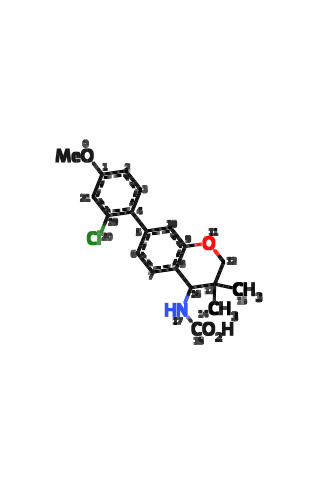 COc1ccc(-c2ccc3c(c2)OCC(C)(C)C3NC(=O)O)c(Cl)c1